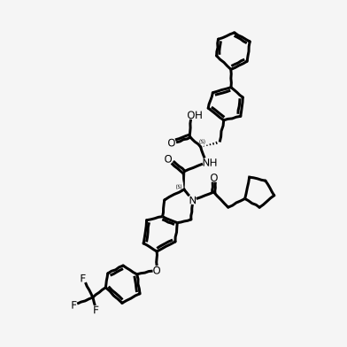 O=C(O)[C@H](Cc1ccc(-c2ccccc2)cc1)NC(=O)[C@@H]1Cc2ccc(Oc3ccc(C(F)(F)F)cc3)cc2CN1C(=O)CC1CCCC1